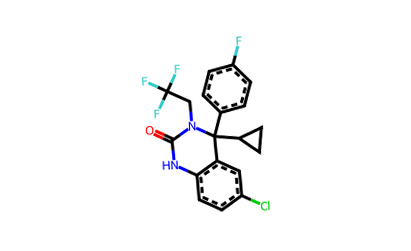 O=C1Nc2ccc(Cl)cc2C(c2ccc(F)cc2)(C2CC2)N1CC(F)(F)F